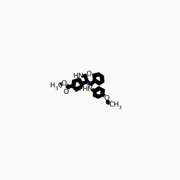 CCOc1ccc(N/C(=C2/C(=O)Nc3cc(C(=O)OC)ccc32)c2ccccc2)cc1